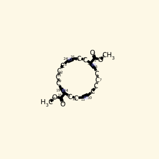 COC(=O)/C1=C/CCCC/C=C\CC/C(C(=O)OC)=C\CCCC/C=C\CC1